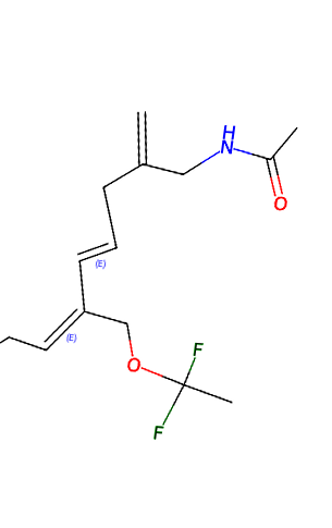 C=C(C/C=C/C(=C\CC)COC(C)(F)F)CNC(C)=O